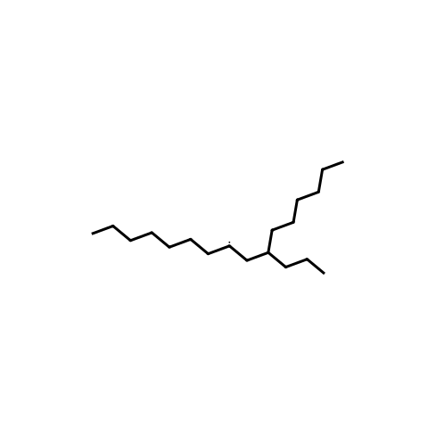 CCCCCCC[CH]CC(CCC)CCCCCC